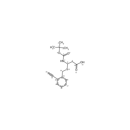 CC(C)(C)OC(=O)NC(CC(=O)O)SCc1ccccc1C#N